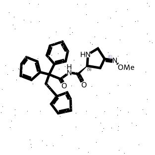 CO/N=C1/CN[C@H](C(=O)NC(=O)C(Cc2ccccc2)(c2ccccc2)c2ccccc2)C1